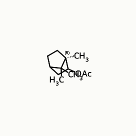 CC(=O)OC1CC2CC[C@]1(C)C2(C)C